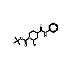 CC(C)(C)OC(=O)N1CCC(C(=O)Nc2ccccc2)CC1Br